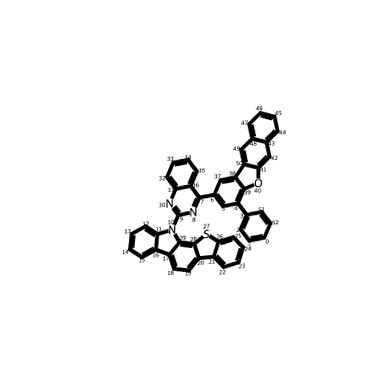 c1ccc(-c2cc(-c3nc(-n4c5ccccc5c5ccc6c7ccccc7sc6c54)nc4ccccc34)cc3c2oc2cc4ccccc4cc23)cc1